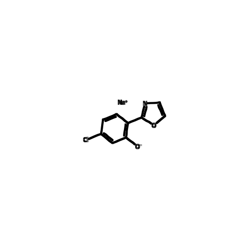 [Na+].[O-]c1cc(Cl)ccc1-c1ncco1